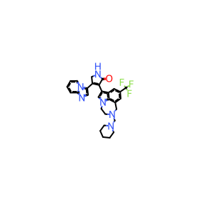 O=C1NCC(c2cnc3ccccn23)=C1c1cn2c3c(cc(C(F)(F)F)cc13)CN(CN1CCCCC1)CC2